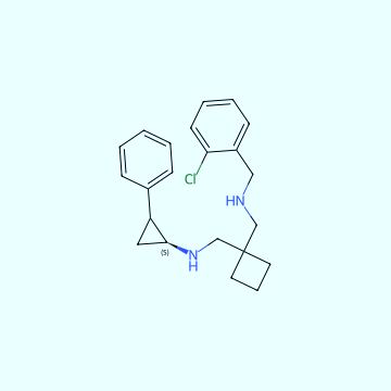 Clc1ccccc1CNCC1(CN[C@H]2CC2c2ccccc2)CCC1